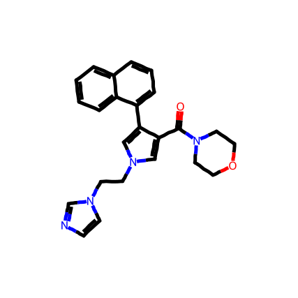 O=C(c1cn(CCn2ccnc2)cc1-c1cccc2ccccc12)N1CCOCC1